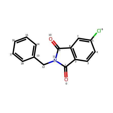 O=C1c2ccc(Cl)cc2C(=O)N1Cc1ccccc1